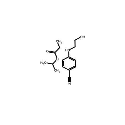 CCC(=O)OC(C)C.N#Cc1ccc(NCCO)cc1